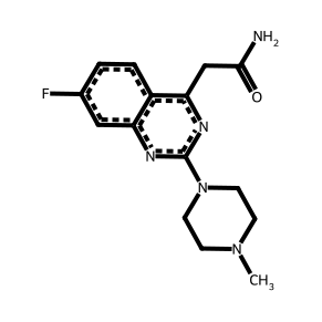 CN1CCN(c2nc(CC(N)=O)c3ccc(F)cc3n2)CC1